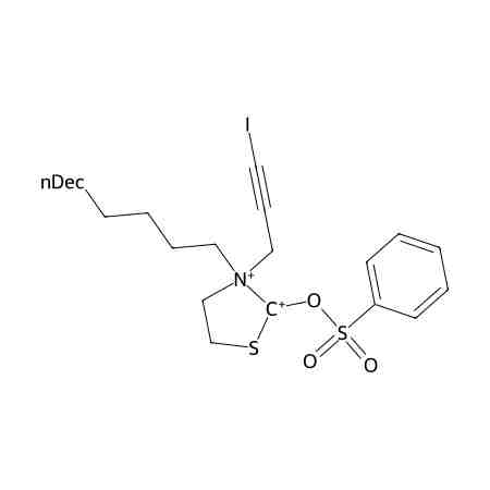 CCCCCCCCCCCCCC[N+]1(CC#CI)CCS[C+]1OS(=O)(=O)c1ccccc1